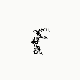 C[C@@H]1CCC[C@H](C)N1c1nnc2ccc(O[C@@H]3CC[C@H](NC(=O)Nc4cc(C(C)(C)C)nn4-c4ccc(Cl)c(CN5CCN(C)CC5)c4)c4ccccc43)cn12